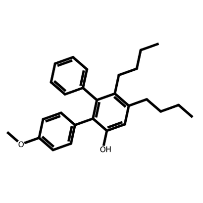 CCCCc1cc(O)c(-c2ccc(OC)cc2)c(-c2ccccc2)c1CCCC